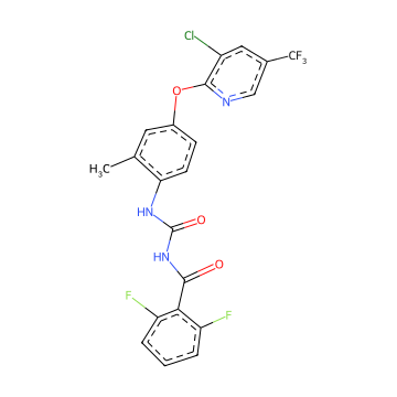 Cc1cc(Oc2ncc(C(F)(F)F)cc2Cl)ccc1NC(=O)NC(=O)c1c(F)cccc1F